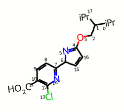 CC(C)C(COC1=NC(c2ccc(C(=O)O)c(Cl)n2)C=C1)C(C)C